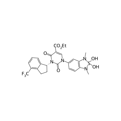 CCOC(=O)c1cn(-c2ccc3c(c2)N(C)S(O)(O)N3C)c(=O)n([C@@H]2CCc3c2cccc3C(F)(F)F)c1=O